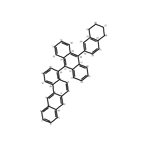 c1ccc2cc3c(ccc4c(-c5c6ccccc6c(-c6ccc7c(c6)CCCC7)c6ccccc56)cccc43)cc2c1